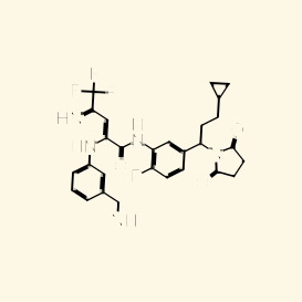 N=C(/C=C(\Nc1cccc(CN)c1)C(=O)Nc1cc(C(CCC2CC2)N2C(=O)CCC2=O)ccc1F)C(F)(F)F